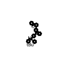 CC(C)(C)c1ccc2nc(-c3ccc(-n4c5ccccc5c5cc(-c6cccc7c6oc6ccccc67)ccc54)cc3)n(-c3ccccc3)c2c1